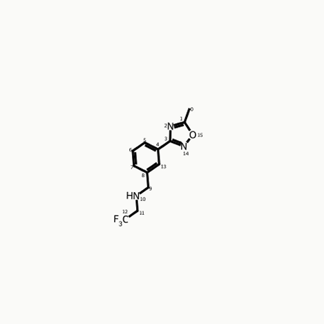 Cc1nc(-c2cccc(CNCC(F)(F)F)c2)no1